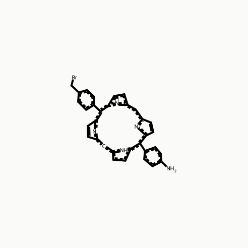 Nc1ccc(-c2c3nc(cc4ccc([nH]4)c(-c4ccc(CBr)cc4)c4nc(cc5ccc2[nH]5)C=C4)C=C3)cc1